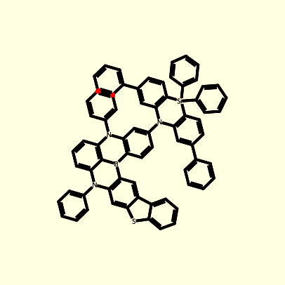 c1ccc(-c2ccc3c(c2)N(c2ccc4c(c2)N(c2ccccc2)c2cccc5c2B4c2cc4c(cc2N5c2ccccc2)sc2ccccc24)c2cc(-c4ccccc4)ccc2[Si]3(c2ccccc2)c2ccccc2)cc1